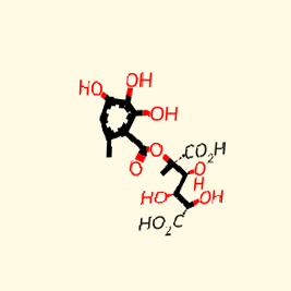 Cc1cc(O)c(O)c(O)c1C(=O)O[C@@](C)(C(=O)O)[C@@H](O)[C@@H](O)[C@H](O)C(=O)O